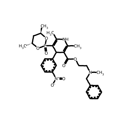 CC1=C(C(=O)OCCN(C)Cc2ccccc2)C(c2cccc([N+](=O)[O-])c2)C(P2(=O)O[C@H](C)C[C@@H](C)O2)=C(C)N1